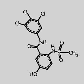 CS(=O)(=O)Nc1ccc(O)cc1C(=O)Nc1cc(Cl)c(Cl)c(Cl)c1